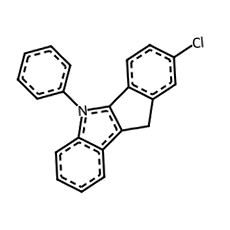 Clc1ccc2c(c1)Cc1c-2n(-c2ccccc2)c2ccccc12